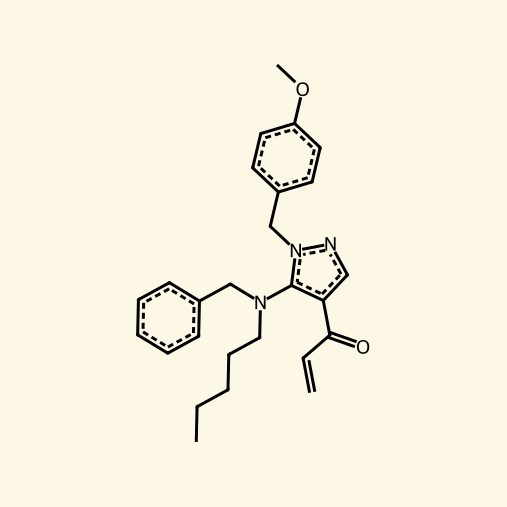 C=CC(=O)c1cnn(Cc2ccc(OC)cc2)c1N(CCCCC)Cc1ccccc1